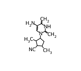 C=C1NC(=C)N(C2CC(C)C(C#N)C2C)C=C1N